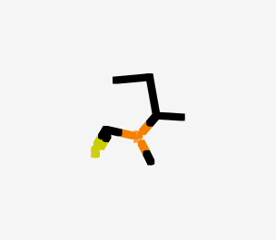 CCC(C)P(C)C=S